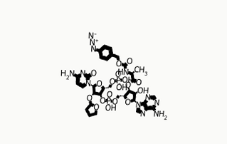 C[C@H](NC(=O)OCc1ccc(N=[N+]=[N-])cc1)C(=O)O[C@H]1[C@@H](O)[C@H](n2cnc3c(N)ncnc32)O[C@@H]1COP(=O)(O)O[C@H]1[C@@H](OC2CCCO2)[C@H](n2ccc(N)nc2=O)O[C@@H]1COP(=O)(O)O